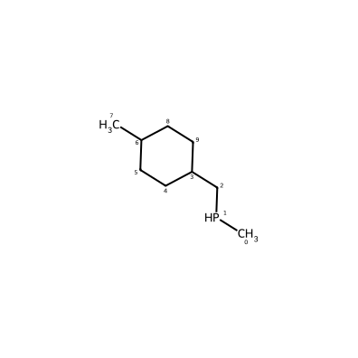 CPCC1CCC(C)CC1